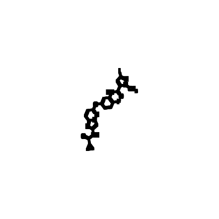 Cn1nc(I)cc1C(=O)Nc1cc(Oc2ccc3nc(NC(=O)C4CC4)cn3n2)ccc1F